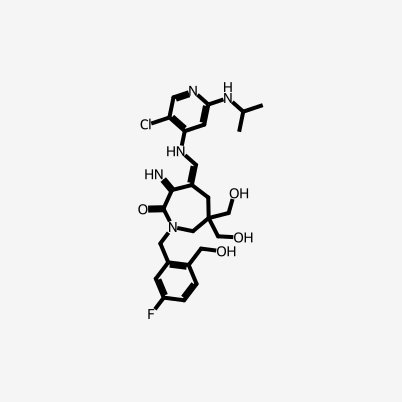 CC(C)Nc1cc(N/C=C2/CC(CO)(CO)CN(Cc3cc(F)ccc3CO)C(=O)C2=N)c(Cl)cn1